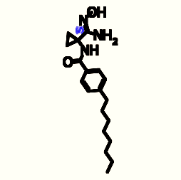 CCCCCCCCc1ccc(C(=O)NC2(/C(N)=N/O)CC2)cc1